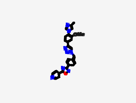 COc1cc(-c2cn(Cc3ccc(-c4noc(-c5ccncc5)n4)cc3)nn2)ccc1-n1cnc(C)c1